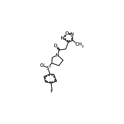 Cc1nonc1CC(=O)N1CCC([S+]([O-])c2ccc(F)cc2)C1